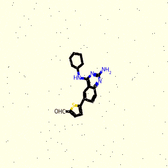 Nc1nc(NC2CCCCC2)c2cc(-c3ccc(C=O)s3)ccc2n1